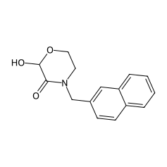 O=C1C(O)OCCN1Cc1ccc2ccccc2c1